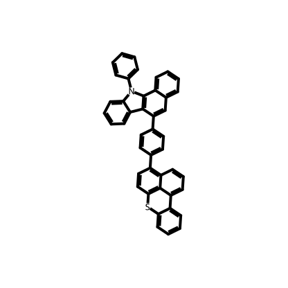 c1ccc(-n2c3ccccc3c3c(-c4ccc(-c5ccc6c7c(cccc57)-c5ccccc5S6)cc4)cc4ccccc4c32)cc1